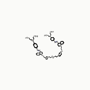 OCCN(CCO)c1ccc(/N=N/c2cc[n+](CCC[n+]3ccn(CCSSCCn4cc[n+](CCC[n+]5ccc(/N=N/c6ccc(N(CCO)CCO)cc6)c6ccccc65)c4)c3)c3ccccc23)cc1